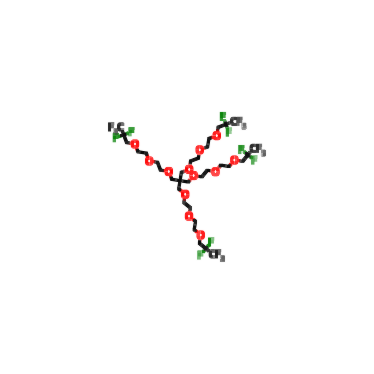 FC(F)(F)C(F)(F)COCCOCCOCC(COCCOCCOCC(F)(F)C(F)(F)F)(COCCOCCOCC(F)(F)C(F)(F)F)COCCOCCOCC(F)(F)C(F)(F)F